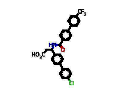 O=C(O)CC(NC(=O)c1ccc(-c2ccc(C(F)(F)F)cc2)cc1)c1ccc(-c2ccc(Cl)cc2)cc1